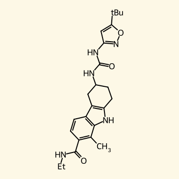 CCNC(=O)c1ccc2c3c([nH]c2c1C)CCC(NC(=O)Nc1cc(C(C)(C)C)on1)C3